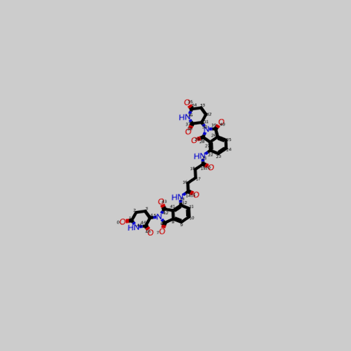 O=C1CCC(N2C(=O)c3cccc(NC(=O)CCCC(=O)Nc4cccc5c4C(=O)N(C4CCC(=O)NC4=O)C5=O)c3C2=O)C(=O)N1